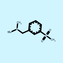 CN(Cc1cccc(S(C)(=O)=O)c1)C(C)(C)C